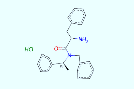 C[C@@H](c1ccccc1)N(Cc1ccccc1)C(=O)C(N)Cc1ccccc1.Cl